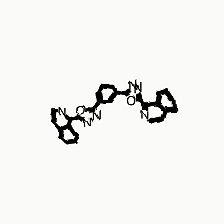 c1cc(-c2nnc(-c3nccc4ccccc34)o2)cc(-c2nnc(-c3nccc4ccccc34)o2)c1